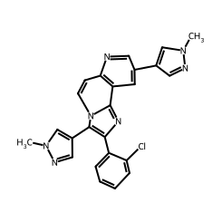 Cn1cc(-c2cnc3ccn4c(-c5cnn(C)c5)c(-c5ccccc5Cl)nc4c3c2)cn1